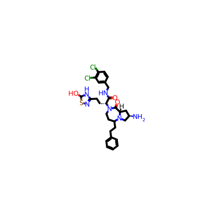 N[C@@H]1C[C@H]2C(=O)N([C@H](CCC3=NSC(O)N3)C(=O)NCc3ccc(Cl)c(Cl)c3)CCC(CCc3ccccc3)N2C1